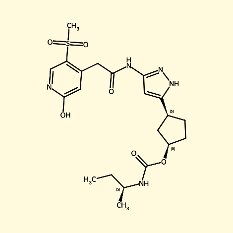 CC[C@H](C)NC(=O)O[C@@H]1CC[C@H](c2cc(NC(=O)Cc3cc(O)ncc3S(C)(=O)=O)n[nH]2)C1